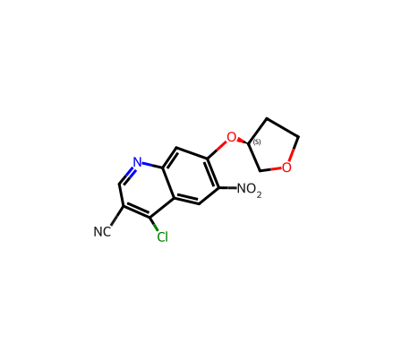 N#Cc1cnc2cc(O[C@H]3CCOC3)c([N+](=O)[O-])cc2c1Cl